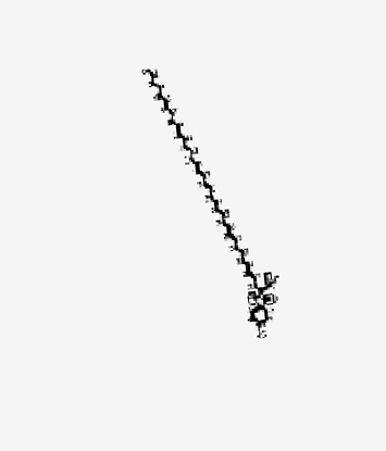 CCCCCCCCCCCCCCCCC=CC=CCCCCCCCCCCCCCCCC(CBr)S(=O)(=O)c1ccc(C)cc1